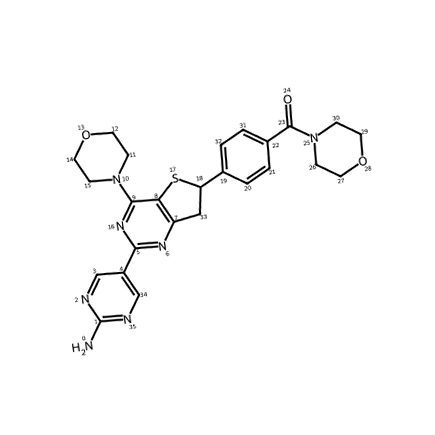 Nc1ncc(-c2nc3c(c(N4CCOCC4)n2)SC(c2ccc(C(=O)N4CCOCC4)cc2)C3)cn1